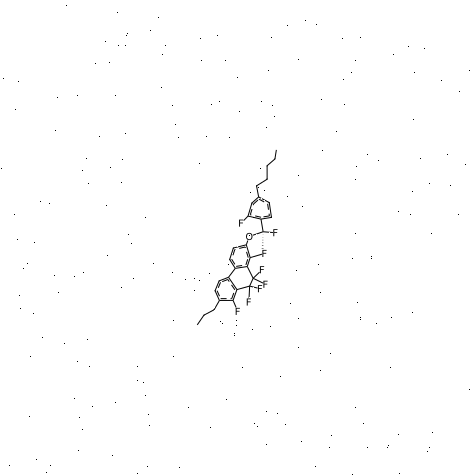 CCCCCc1ccc([C@@](C)(F)Oc2ccc3c(c2F)C(F)(F)C(F)(F)c2c-3ccc(CCC)c2F)c(F)c1